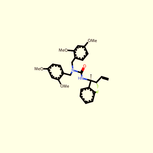 C=C[C@H](F)[C@](C)(NC(=O)N(Cc1ccc(OC)cc1OC)Cc1ccc(OC)cc1OC)c1ccccc1F